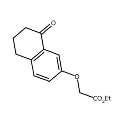 CCOC(=O)COc1ccc2c(c1)C(=O)CCC2